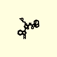 COCCn1cc(-c2c[nH]c3ccccc23)sc1=NC(=O)C12CC3CC(CC(C3)C1)C2